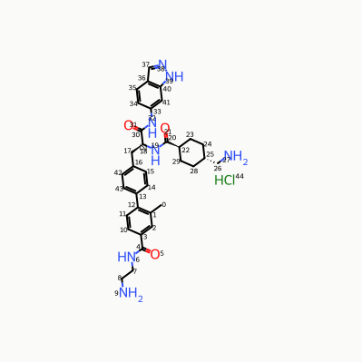 Cc1cc(C(=O)NCCN)ccc1-c1ccc(C[C@H](NC(=O)[C@H]2CC[C@H](CN)CC2)C(=O)Nc2ccc3cn[nH]c3c2)cc1.Cl